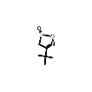 CC(C)(C)C1=NOS(=O)C1